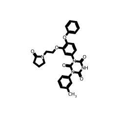 Cc1cccc(-n2c(=O)[nH]c(=O)n(-c3ccc(Oc4ccccc4)c(OCCN4CCCC4=O)c3)c2=O)c1